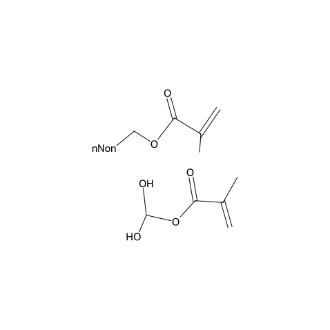 C=C(C)C(=O)OC(O)O.C=C(C)C(=O)OCCCCCCCCCC